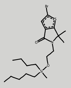 CCCCC[Si](C)(CCCC)OCCN1C(=O)c2cc(Br)sc2C1(C)C